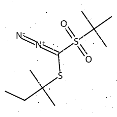 CCC(C)(C)SC(=[N+]=[N-])S(=O)(=O)C(C)(C)C